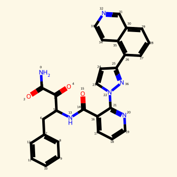 NC(=O)C(=O)C(Cc1ccccc1)NC(=O)c1cccnc1-n1ccc(-c2cccc3cnccc23)n1